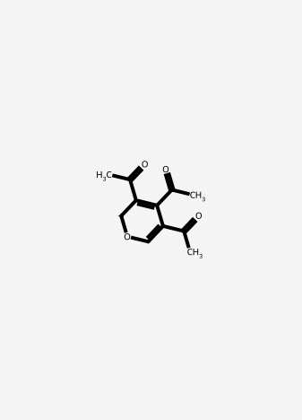 CC(=O)C1=CO[CH]C(C(C)=O)=C1C(C)=O